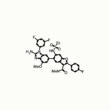 CCS(=O)(=O)Nc1cc2oc(-c3ccc(F)cc3)c(C(=O)NC)c2cc1-c1cc(OC)c2nc(N)n(-c3cc(F)cc(F)c3)c2c1